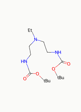 [CH2]CN(CCNC(=O)OC(C)(C)C)CCNC(=O)OC(C)(C)C